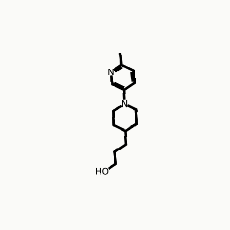 Cc1ccc(N2CCC(CCCO)CC2)cn1